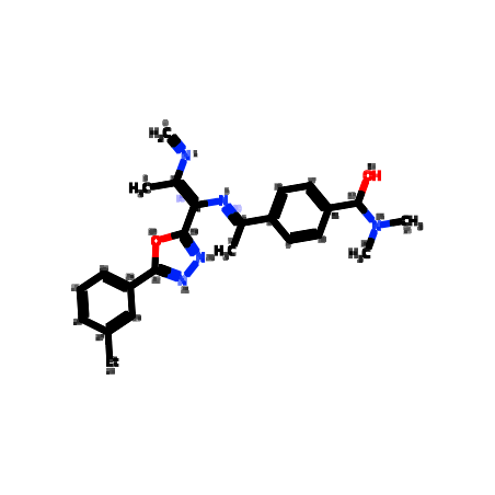 C=N/C(C)=C(\N=C(/C)c1ccc(C(O)N(C)C)cc1)c1nnc(-c2cccc(CC)c2)o1